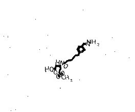 CS(=O)(=O)CCC(CC(=O)O)NC(=O)CCCCc1ccc(C=NN)cc1